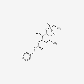 COS(=O)(=O)OC1C(O)C(C)OC(OC(=O)OCc2ccccc2)C1O